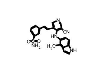 Cc1c(Nc2c(C#N)cncc2/C=C/c2cccc(S(N)(=O)=O)c2)ccc2[nH]ccc12